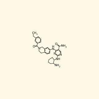 CCc1cccc(C(=O)N2CCc3ccc(Nc4nc(NC5CCCCC5N)ncc4C(N)=O)cc3C2)c1